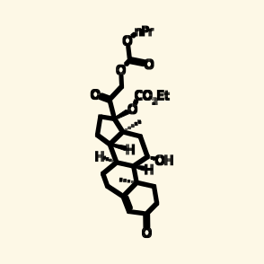 CCCOC(=O)OCC(=O)[C@@]1(OC(=O)OCC)CC[C@H]2[C@@H]3CCC4=CC(=O)CC[C@]4(C)[C@H]3[C@@H](O)C[C@@]21C